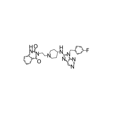 O=c1[nH]c2ccccc2c(=O)n1CCN1CCC(Nc2nc3cncnc3n2Cc2ccc(F)cc2)CC1